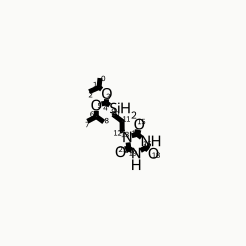 CC(C)OC(OC(C)C)[SiH2]CCCn1c(=O)[nH]c(=O)[nH]c1=O